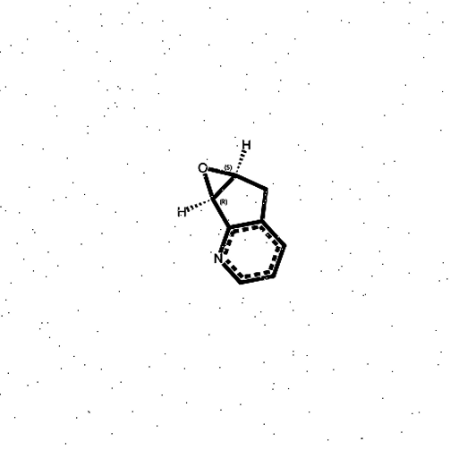 c1cnc2c(c1)C[C@@H]1O[C@H]21